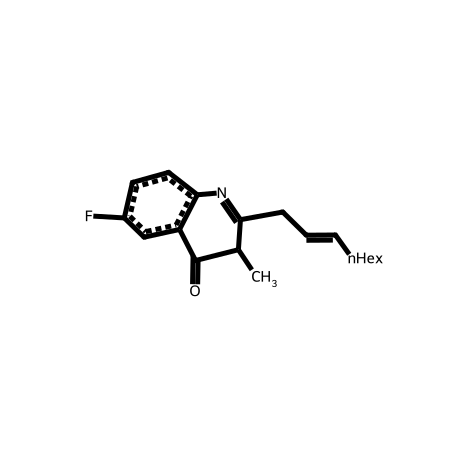 CCCCCCC=CCC1=Nc2ccc(F)cc2C(=O)C1C